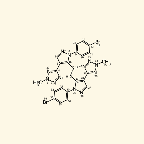 Cn1nnc(-c2cnn(-c3ccc(Br)cc3)c2SSc2c(-c3nnn(C)n3)cnn2-c2ccc(Br)cc2)n1